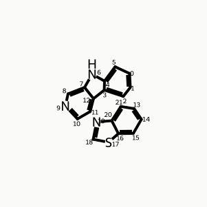 c1ccc2c(c1)[nH]c1cnccc12.c1ccc2scnc2c1